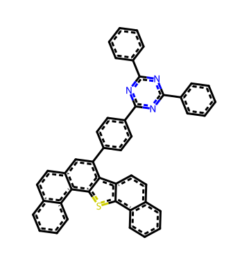 c1ccc(-c2nc(-c3ccccc3)nc(-c3ccc(-c4cc5ccc6ccccc6c5c5sc6c7ccccc7ccc6c45)cc3)n2)cc1